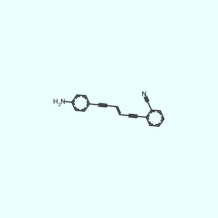 N#Cc1ccccc1C#CC=CC#Cc1ccc(N)cc1